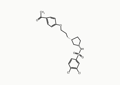 CC(=O)c1ccc(OCCC[C@@H]2CCN(NS(=O)(=O)c3ccc(Cl)c(Cl)c3)C2)cc1